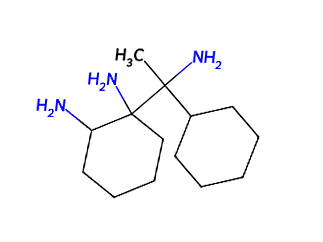 CC(N)(C1CCCCC1)C1(N)CCCCC1N